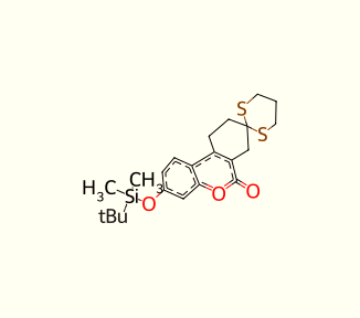 CC(C)(C)[Si](C)(C)Oc1ccc2c3c(c(=O)oc2c1)CC1(CC3)SCCCS1